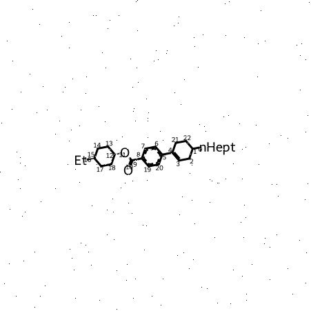 CCCCCCCC1CC=C(c2ccc(C(=O)O[C@H]3CC[C@H](CC)CC3)cc2)CC1